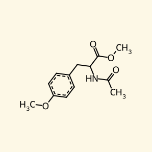 COC(=O)C(Cc1ccc(OC)cc1)NC(C)=O